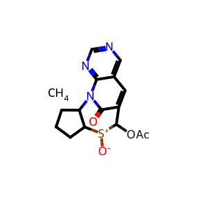 C.CC(=O)OC1c2cc3cncnc3n(c2=O)C2CCCC2[S+]1[O-]